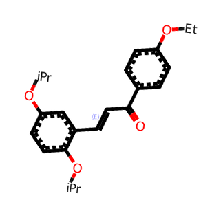 CCOc1ccc(C(=O)/C=C/c2cc(OC(C)C)ccc2OC(C)C)cc1